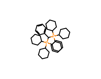 c1ccc(C([P](C2CCCCC2)(C2CCCCC2)C2CCCCC2)[P](C2CCCCC2)(C2CCCCC2)C2CCCCC2)cc1